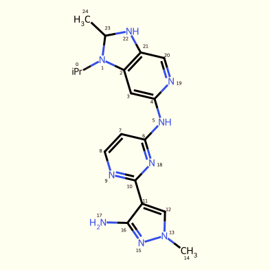 CC(C)N1c2cc(Nc3ccnc(-c4cn(C)nc4N)n3)ncc2NC1C